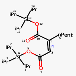 CCCCC/C(=C/C(=O)O[Si](C(C)C)(C(C)C)C(C)C)C(=O)O[Si](C(C)C)(C(C)C)C(C)C